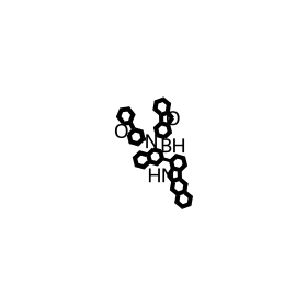 B1c2cc3oc4ccccc4c3cc2N(c2ccc3oc4ccccc4c3c2)c2c1c(-c1cccc3c1[nH]c1cc4ccccc4cc13)cc1ccccc21